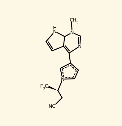 CN1C=NC(c2ccn([C@@H](CC#N)C(F)(F)F)c2)=C2C=CNC21